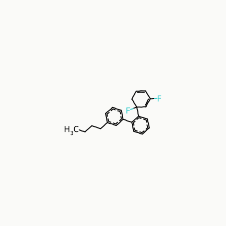 CCCCc1cccc(-c2ccccc2C2(F)C=C(F)C=CC2)c1